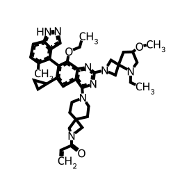 C=CC(=O)N1CC2(CCN(c3nc(N4CC5(CC(OC)CN5CC)C4)nc4c(OCC)c(-c5c(C)ccc6[nH]ncc56)c(C5CC5)cc34)CC2)C1